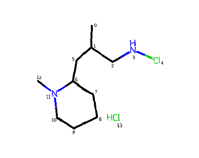 CC(CNCl)CC1CCCCN1C.Cl